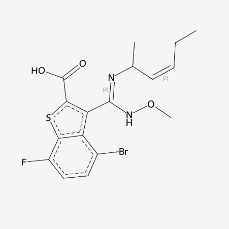 CC/C=C\C(C)/N=C(\NOC)c1c(C(=O)O)sc2c(F)ccc(Br)c12